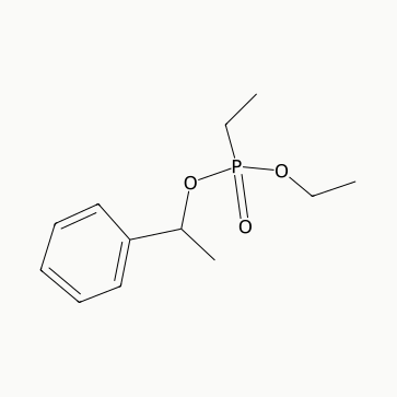 CCOP(=O)(CC)OC(C)c1ccccc1